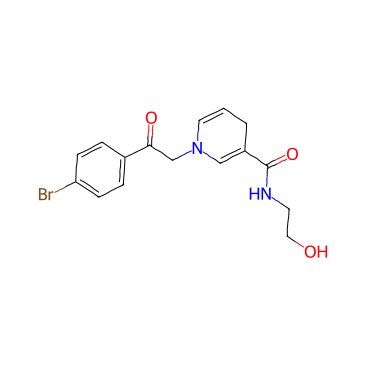 O=C(NCCO)C1=CN(CC(=O)c2ccc(Br)cc2)C=CC1